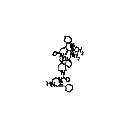 C[SH](N)(=O)c1cn(CC2(O)CCN(C(=O)N3CCNC[C@H]3c3ccccc3)CC23CCCC3)c(=O)cc1-c1ccccc1